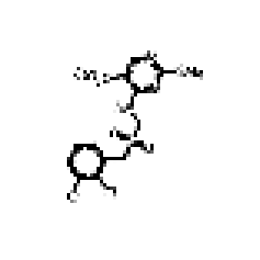 CCOC(=O)c1cnc(SC)nc1NCS(=O)(=O)Cc1cccc(Cl)c1Cl